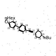 CCCCCCOc1ccc(-c2ccc(C#C[C@H]3CC[C@H](CCCC)CC3)cc2)cc1